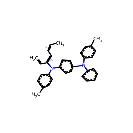 C=C/C(=C\C=C/C)N(c1ccc(C)cc1)c1ccc(N(c2ccccc2)c2ccc(C)cc2)cc1